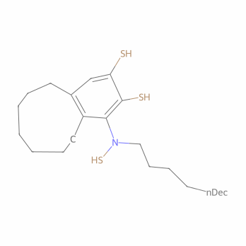 CCCCCCCCCCCCCCN(S)c1c(S)c(S)cc2c1CCCCCCC2